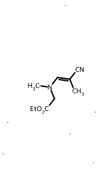 CCOC(=O)CN(C)/C=C(\C)C#N